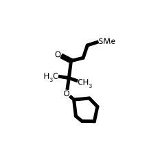 CSCCC(=O)C(C)(C)OC1CCCCC1